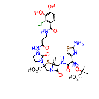 CC(C)(O/N=C(\C(=O)NC1C(=O)N2CC(C(=O)O)(N3CCN(NC(=O)CCNC(=O)c4ccc(O)c(O)c4Cl)C3=O)S[C@H]12)c1csc(N)n1)C(=O)O